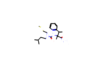 CSCCN(CCC(C)C)C(=O)NC(C)(C(N)=O)C(C)c1ccccc1